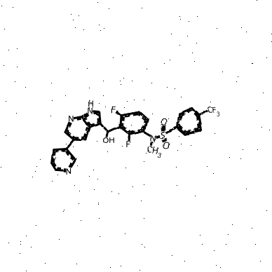 CN(c1ccc(F)c(C(O)c2c[nH]c3ncc(-c4cccnc4)cc23)c1F)S(=O)(=O)c1ccc(C(F)(F)F)cc1